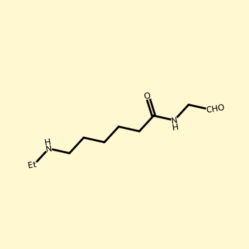 CCNCCCCCC(=O)NCC=O